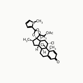 CC(=O)OCC(=O)[C@]1(OC(=O)c2cccn2C)[C@H](C)C[C@H]2[C@@H]3CCC4=CC(=O)C=C[C@]4(C)[C@@]3(Cl)[C@@H](Cl)C[C@@]21C